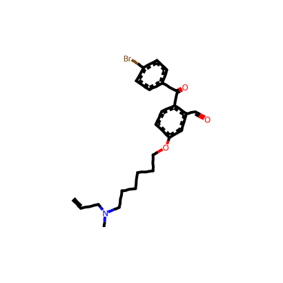 C=CCN(C)CCCCCCOc1ccc(C(=O)c2ccc(Br)cc2)c(C=O)c1